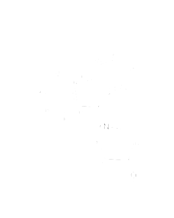 O=C1CCN(C2c3ccccc3-c3ccccc32)CC1